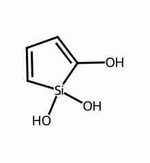 OC1=CC=C[Si]1(O)O